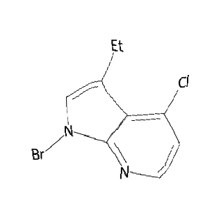 CCc1cn(Br)c2nccc(Cl)c12